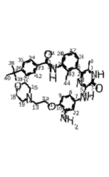 Cc1[nH]c(=O)c(Nc2ccc(OCCN3CCOCC3)c(N)c2)nc1-c1cccc(NC(=O)c2ccc(C(C)(C)C)cc2)c1C